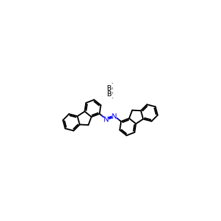 [B].[B].c1ccc2c(c1)Cc1c(N=Nc3cccc4c3Cc3ccccc3-4)cccc1-2